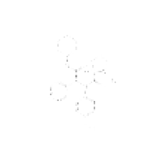 CC(C)(C)c1ccc(N(C(=O)C2(C)CCCN2C#N)C(C(=O)NC2CCCCC2)c2cccnc2)cc1